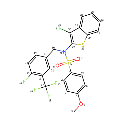 COc1ccc(S(=O)(=O)N(Cc2ccc(F)c(C(F)(F)F)c2)c2sc3ccccc3c2Cl)cc1